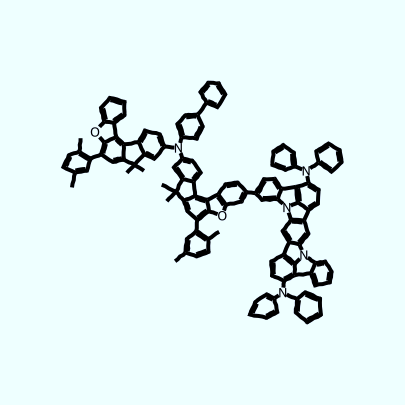 Cc1ccc(C)c(-c2cc3c(c4c2oc2ccccc24)-c2ccc(N(c4ccc(-c5ccccc5)cc4)c4ccc5c(c4)C(C)(C)c4cc(-c6cc(C)ccc6C)c6oc7cc(-c8ccc9c%10c(N(c%11ccccc%11)c%11ccccc%11)ccc%11c%12cc%13c(cc%12n(c9c8)c%11%10)c8ccc(N(c9ccccc9)c9ccccc9)c9c%10ccccc%10n%13c89)ccc7c6c4-5)cc2C3(C)C)c1